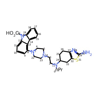 CCCN(CCN1CCN(c2cccc3c2c2ccccc2n3C(=O)O)CC1)C1CCc2nc(N)sc2C1